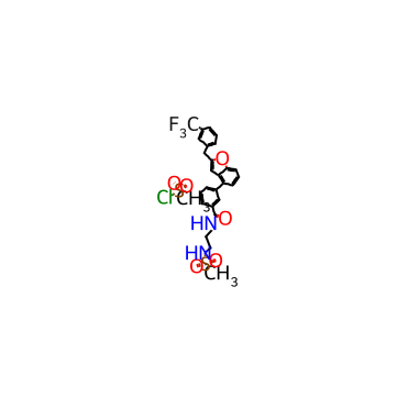 CS(=O)(=O)Cl.CS(=O)(=O)NCCCNC(=O)c1cccc(-c2cccc3oc(Cc4cccc(C(F)(F)F)c4)cc23)c1